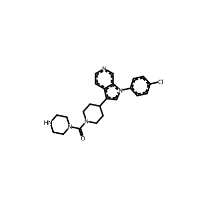 O=C(N1CCNCC1)N1CCC(c2cn(-c3ccc(Cl)cc3)c3cnccc23)CC1